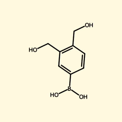 OCc1ccc(B(O)O)cc1CO